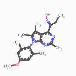 CCC(=NO)c1nc(C)nc2c1c(C)c(C)n2-c1c(C)cc(OC)cc1C